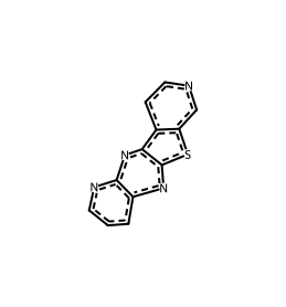 c1cnc2nc3c(nc2c1)sc1cnccc13